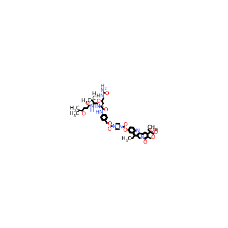 CCc1c2c(nc3ccc(OC(=O)N4CCN(C(=O)OCc5ccc(NC(=O)[C@H](CCCNC(N)=O)NC(=O)[C@@H](NC(=O)CCC(=O)C(C)C)C(C)C)cc5)CC4)cc13)-c1cc3c(c(=O)n1C2)COC(=O)[C@]3(O)CC